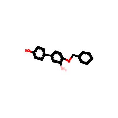 Bc1cc(-c2ccc(O)cc2)ccc1OCc1ccccc1